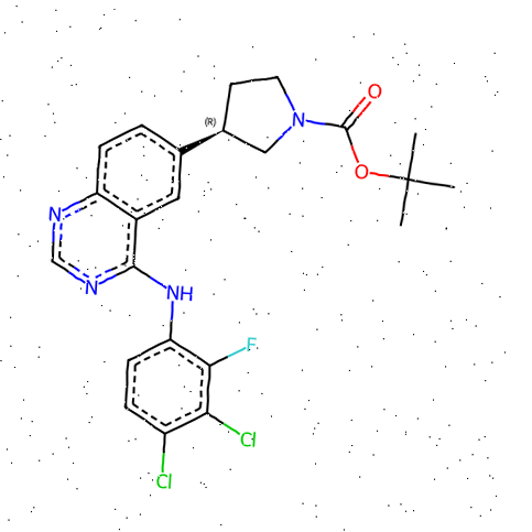 CC(C)(C)OC(=O)N1CC[C@H](c2ccc3ncnc(Nc4ccc(Cl)c(Cl)c4F)c3c2)C1